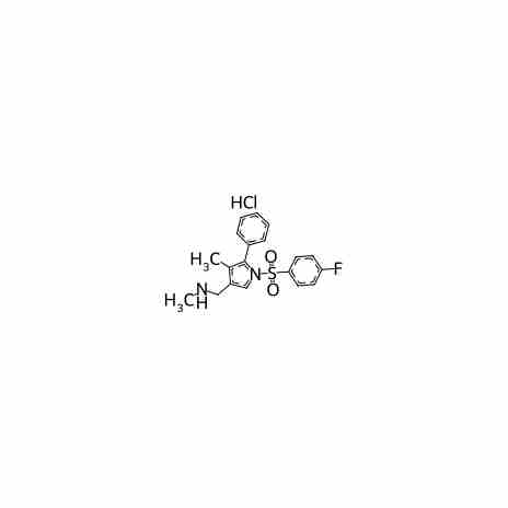 CNCc1cn(S(=O)(=O)c2ccc(F)cc2)c(-c2ccccc2)c1C.Cl